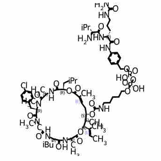 C/C=C(\C)[C@H]1OC(=O)[C@@H](C)NC(=O)[C@H](C(C)CC)NC(=O)CN(C)C(=O)[C@@H](Cc2ccc(Cl)cc2)N(C)C(=O)[C@H](C)NC(=O)[C@@H](CC(C)C)OC(=O)/C(C)=C/C[C@H](OC(=O)NCCCCCOP(=O)(O)OP(=O)(O)OCc2ccc(NC(=O)[C@@H](CCCNC(N)=O)NC(=O)[C@H](N)C(C)C)cc2)[C@@H]1C